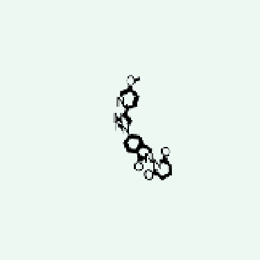 COc1ccc(-c2cn(-c3ccc4c(c3)CN(N3C(=O)CCCC3=O)C4=O)nn2)nc1